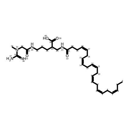 CC/C=C\C/C=C\C/C=C\C/C=C\C/C=C\C/C=C\CCC(=O)NCC(CCCNC(=O)CN(C)C(=N)N)C(=O)O